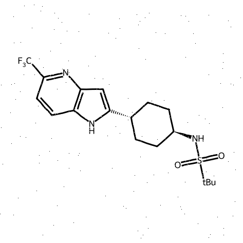 CC(C)(C)S(=O)(=O)N[C@H]1CC[C@H](c2cc3nc(C(F)(F)F)ccc3[nH]2)CC1